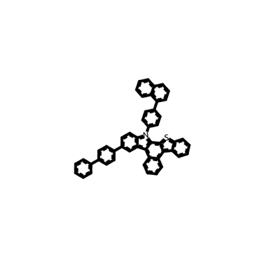 c1ccc(-c2ccc(-c3ccc4c(c3)c3c5ccccc5c5c6ccccc6sc5c3n4-c3ccc(-c4cccc5ccccc45)cc3)cc2)cc1